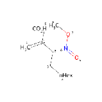 C=C(CCCCCCCC)C(=O)O.CON=O